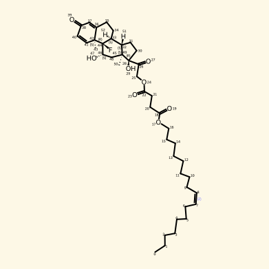 CCCCCCC/C=C\CCCCCCCCOC(=O)CCC(=O)OCC(=O)[C@@]1(O)CC[C@H]2[C@@H]3CCC4=CC(=O)C=C[C@]4(C)[C@@]3(F)[C@@H](O)C[C@@]21C